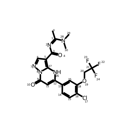 CC(=NC(=O)c1cnn2c(=O)cc(-c3ccc(Cl)c(OCC(F)(F)F)c3)[nH]c12)N(C)C